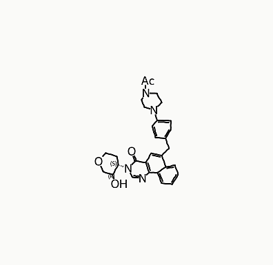 CC(=O)N1CCN(c2ccc(Cc3cc4c(=O)n([C@H]5CCOC[C@@H]5O)cnc4c4ccccc34)cc2)CC1